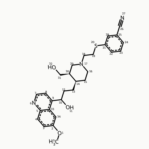 COc1ccc2nccc(C(O)CC[C@@H]3CCN(CCSc4cccc(C#N)c4)C[C@@H]3CO)c2c1